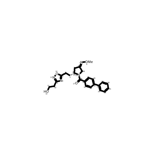 CON=C1C[C@@H](CCc2nc(CCO)no2)N(C(=O)c2ccc(-c3ccccc3)cc2)C1